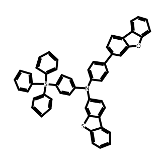 c1ccc([Si](c2ccccc2)(c2ccccc2)c2ccc(N(c3ccc(-c4ccc5c(c4)oc4ccccc45)cc3)c3ccc4c(c3)sc3ccccc34)cc2)cc1